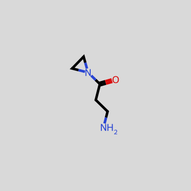 NCCC(=O)N1CC1